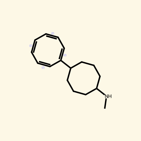 CNC1CCCC(C2=C/C=C\C=C/C=C\2)CCC1